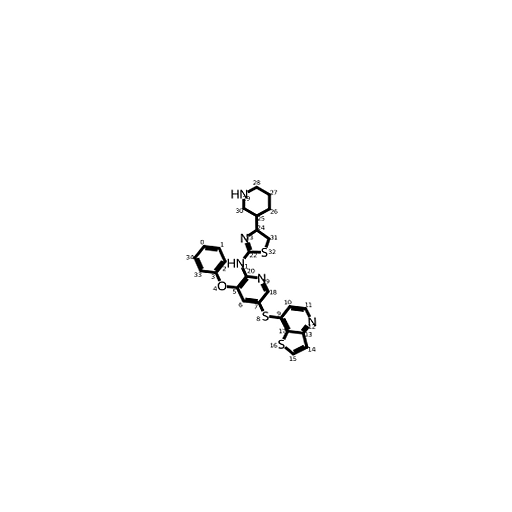 c1ccc(Oc2cc(Sc3ccnc4ccsc34)cnc2NC2=NC(C3CCCNC3)CS2)cc1